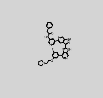 O=C(Cc1ccccc1)Nc1cncc(-c2cc3c(-c4nc5c(-c6cc(F)cc(OCCN7CCCC7)c6)cncc5[nH]4)n[nH]c3cn2)c1